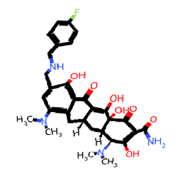 CN(C)c1cc(CNCc2ccc(F)cc2)c(O)c2c1C[C@H]1C[C@H]3[C@H](N(C)C)C(O)=C(C(N)=O)C(=O)[C@@]3(O)C(O)=C1C2=O